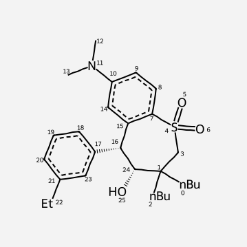 CCCCC1(CCCC)CS(=O)(=O)c2ccc(N(C)C)cc2[C@@H](c2cccc(CC)c2)[C@H]1O